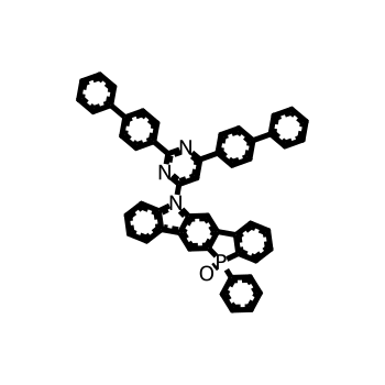 O=P1(c2ccccc2)c2ccccc2-c2cc3c(cc21)c1ccccc1n3-c1cc(-c2ccc(-c3ccccc3)cc2)nc(-c2ccc(-c3ccccc3)cc2)n1